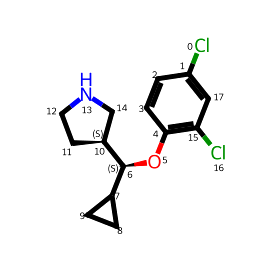 Clc1ccc(O[C@@H](C2CC2)[C@H]2CCNC2)c(Cl)c1